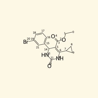 CCOC(=O)C1=C(C2CC2)NC(=O)NC1c1cccc(Br)c1